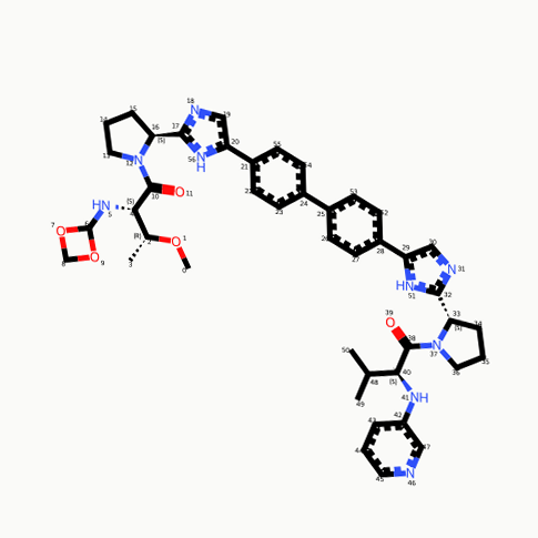 CO[C@H](C)[C@H](NC1OCO1)C(=O)N1CCC[C@H]1c1ncc(-c2ccc(-c3ccc(-c4cnc([C@@H]5CCCN5C(=O)[C@@H](Nc5cccnc5)C(C)C)[nH]4)cc3)cc2)[nH]1